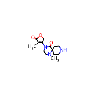 CC1=C(N2CCN(C)C3(CCNCC3)C2=O)COC1=O